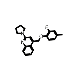 Cc1ccc(OCc2cc(N3CCCC3)nc3ccccc23)c(F)c1